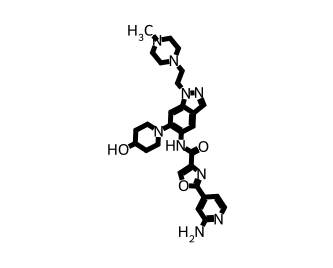 CN1CCN(CCn2ncc3cc(NC(=O)c4coc(-c5ccnc(N)c5)n4)c(N4CCC(O)CC4)cc32)CC1